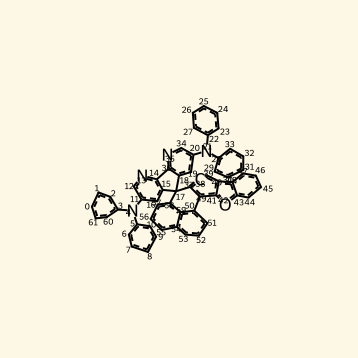 c1ccc(N(c2ccccc2)c2cnc3c(c2)C2(c4cc(N(c5ccccc5)c5ccccc5)cnc4-3)c3ccc4c(oc5ccccc54)c3-c3cccc4cccc2c34)cc1